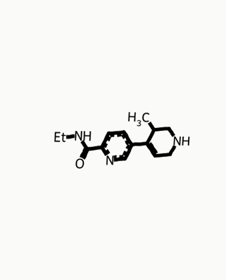 CCNC(=O)c1ccc(C2=CCNCC2C)cn1